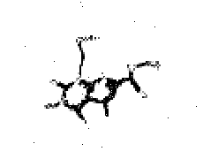 CCCOC(=O)c1sc2c(c1C)c(=O)n(CCC)c(=O)n2CCOC